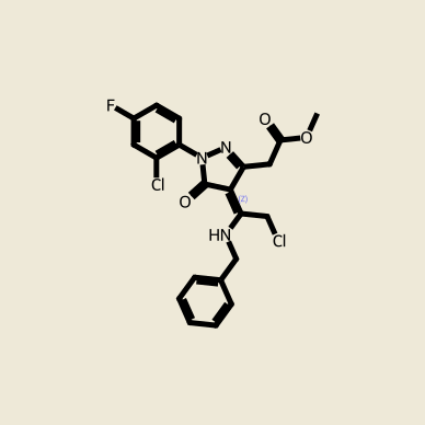 COC(=O)CC1=NN(c2ccc(F)cc2Cl)C(=O)/C1=C(/CCl)NCc1ccccc1